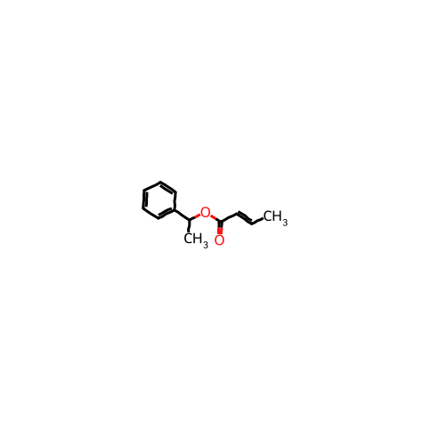 CC=CC(=O)OC(C)c1ccccc1